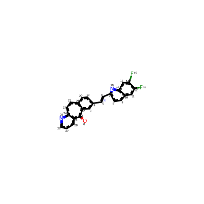 O=c1c2cc(/C=C/c3ccc4cc(F)c(F)cc4n3)ccc2ccc2ncccc12